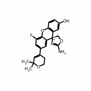 CC1(C)C=C(c2cc(F)c3c(c2)[C@]2(COC(N)=N2)c2cc(O)ccc2O3)CCO1